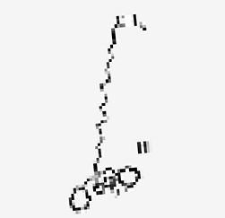 CCCCCCCCCCCCCCCCP(C)(C)(Cc1ccccc1)Cc1ccccc1.I